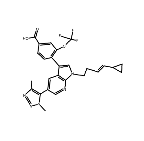 Cc1nnn(C)c1-c1cnc2c(c1)c(-c1ccc(C(=O)O)cc1OC(F)(F)F)cn2CC/C=C/C1CC1